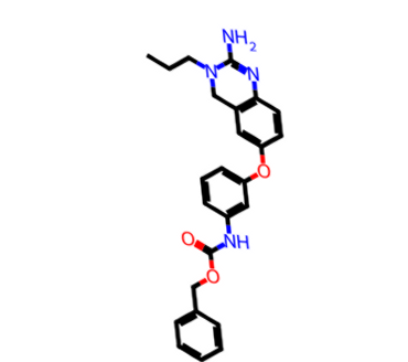 CCCN1Cc2cc(Oc3cccc(NC(=O)OCc4ccccc4)c3)ccc2N=C1N